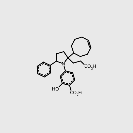 CCOC(=O)c1ccc(N2C(c3ccccc3)CCC2(CCC(=O)O)C2CC/C=C\CCC2)cc1O